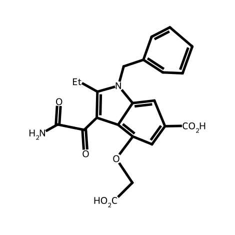 CCc1c(C(=O)C(N)=O)c2c(OCC(=O)O)cc(C(=O)O)cc2n1Cc1ccccc1